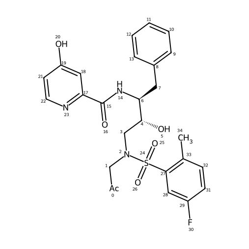 CC(=O)CN(C[C@@H](O)[C@H](Cc1ccccc1)NC(=O)c1cc(O)ccn1)S(=O)(=O)c1cc(F)ccc1C